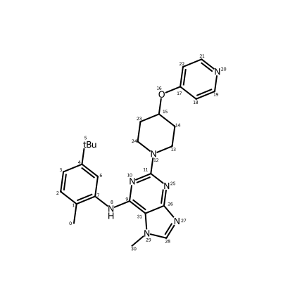 Cc1ccc(C(C)(C)C)cc1Nc1nc(N2CCC(Oc3ccncc3)CC2)nc2ncn(C)c12